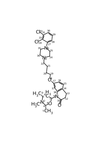 CCN(C)C(C)OC(C)N1C(=O)CCc2ccc(OCCCCN3CCN(c4cccc(Cl)c4Cl)CC3)cc21